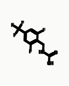 O=C(O)NCc1c(F)cc(C(F)(F)F)cc1F